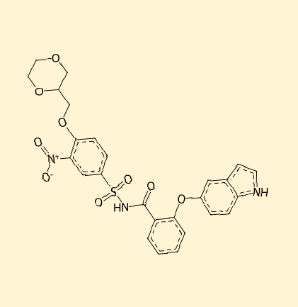 O=C(NS(=O)(=O)c1ccc(OCC2COCCO2)c([N+](=O)[O-])c1)c1ccccc1Oc1ccc2[nH]ccc2c1